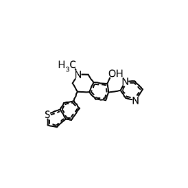 CN1Cc2c(ccc(-c3cnccn3)c2O)C(c2ccc3ccsc3c2)C1